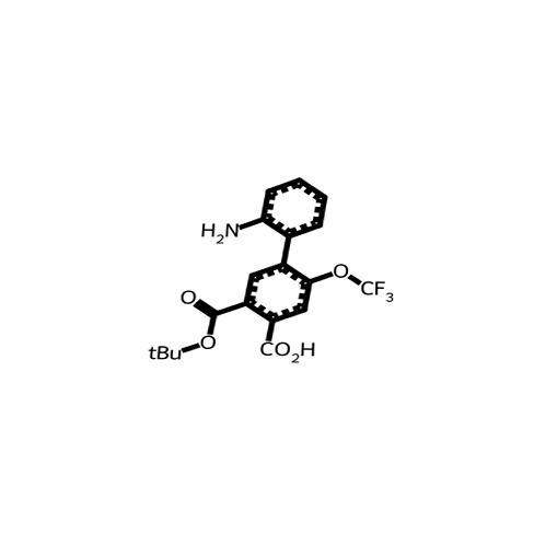 CC(C)(C)OC(=O)c1cc(-c2ccccc2N)c(OC(F)(F)F)cc1C(=O)O